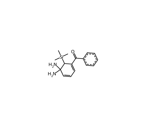 C[Si](C)(C)C1C(C(=O)c2ccccc2)=CC=CC1(N)N